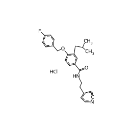 CC(C)Cc1cc(C(=O)NCCc2ccncc2)ccc1OCc1ccc(F)cc1.Cl